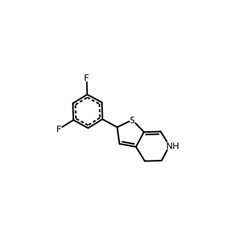 Fc1cc(F)cc(C2C=C3CCNC=C3S2)c1